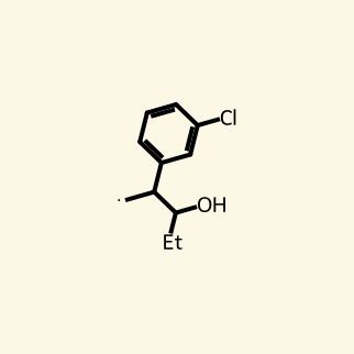 [CH2]C(c1cccc(Cl)c1)C(O)CC